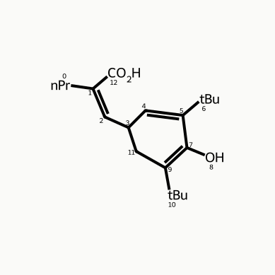 CCCC(=CC1C=C(C(C)(C)C)C(O)=C(C(C)(C)C)C1)C(=O)O